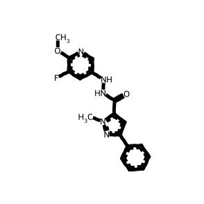 COc1ncc(NNC(=O)c2cc(-c3ccccc3)nn2C)cc1F